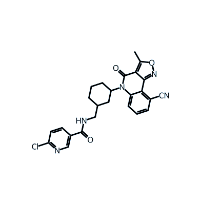 Cc1onc2c1c(=O)n(C1CCCC(CNC(=O)c3ccc(Cl)nc3)C1)c1cccc(C#N)c21